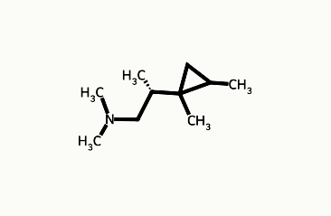 CC1CC1(C)[C@@H](C)CN(C)C